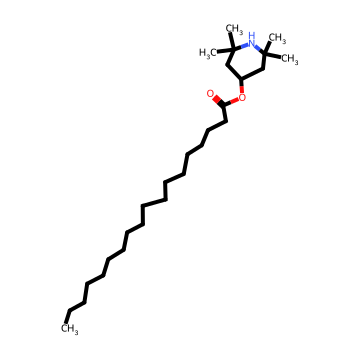 CCCCCCCCCCCCCCCCCC(=O)OC1CC(C)(C)NC(C)(C)C1